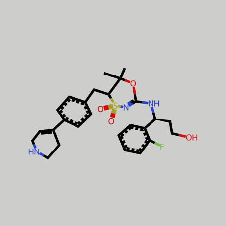 CC1(C)OC(N[C@@H](CCO)c2ccccc2F)=NS(=O)(=O)C1Cc1ccc(C2=CCNCC2)cc1